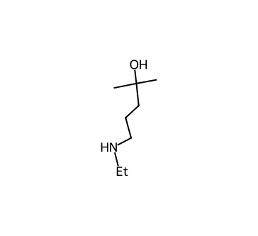 CCNCCCC(C)(C)O